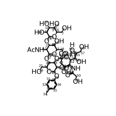 CC(=O)NC1C(O[C@@H]2OC(CO)[C@H](O)C(O)C2O)[C@@H](O)C(CO)O[C@H]1O[C@H]1C(CO)O[C@@H](Oc2ccc(I)cc2)C(O)C1O[C@]1(C(=O)O)CC(O)[C@@H](NC(=O)CO)C([C@H](O)[C@H](O)CO)O1